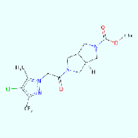 Cc1c(Cl)c(C(F)(F)F)nn1CC(=O)N1CC2CN(C(=O)OC(C)(C)C)C[C@H]2C1